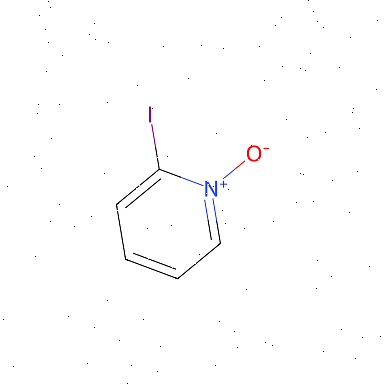 [O-][n+]1ccccc1I